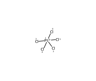 [Cl][Pt-3]([Cl])([Cl])([Cl])[Cl]